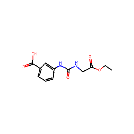 CCOC(=O)CNC(=O)Nc1cccc(C(=O)O)c1